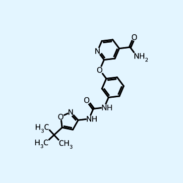 CC(C)(C)c1cc(NC(=O)Nc2cccc(Oc3cc(C(N)=O)ccn3)c2)no1